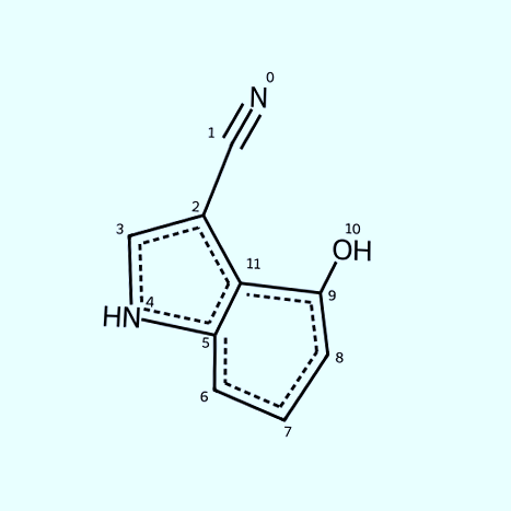 N#Cc1c[nH]c2cccc(O)c12